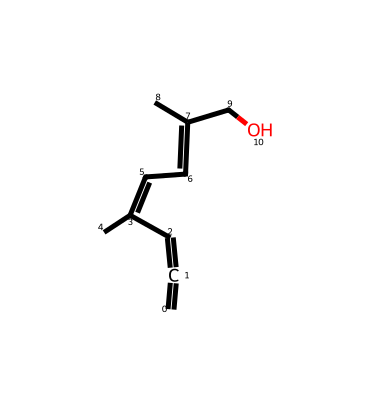 C=C=C/C(C)=C\C=C(/C)CO